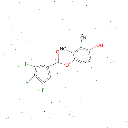 N#Cc1c(O)ccc(OC(=O)c2cc(F)c(F)c(F)c2)c1C#N